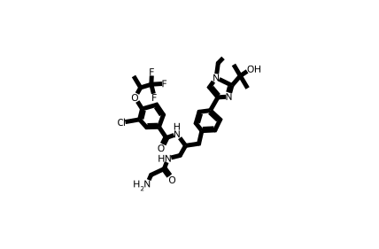 CCn1cc(-c2ccc(CC(CNC(=O)CN)NC(=O)c3ccc(OC(C)C(F)(F)F)c(Cl)c3)cc2)nc1C(C)(C)O